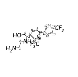 NCCN[C@@H](CO)c1ccc(-c2ccc(C(F)(F)F)cc2)nc1C(F)(F)F